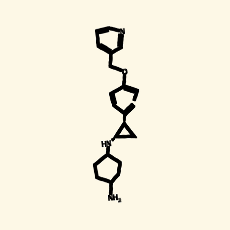 C=C(/C=C\C(=C/C)OCc1cccnc1)[C@H]1C[C@@H]1NC1CCC(N)CC1